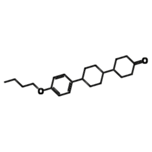 CCCCOc1ccc(C2CCC(C3CCC(=O)CC3)CC2)cc1